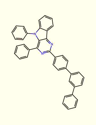 c1ccc(-c2cccc(-c3ccc(-c4nc(-c5ccccc5)c5c(n4)c4ccccc4n5-c4ccccc4)cc3)c2)cc1